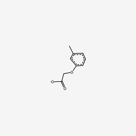 Cc1cccc(OCC([O])=O)c1